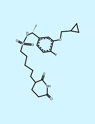 C[C@@H](NS(=O)(=O)CCCCCC1CCC(=O)NC1=O)c1ccc(F)c(OCC2CC2)c1